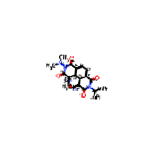 C/C=C1/C(=O)N(C(CCC)CCC)C(=O)C2=CC=C3C(=O)N(N(C)C)C(=O)/C(=C/C)C3C21